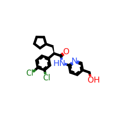 O=C(Nc1ccc(CO)cn1)[C@H](CC1CCCC1)c1ccc(Cl)c(Cl)c1